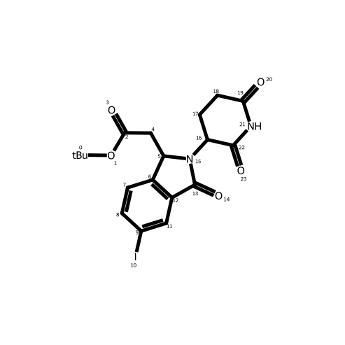 CC(C)(C)OC(=O)CC1c2ccc(I)cc2C(=O)N1C1CCC(=O)NC1=O